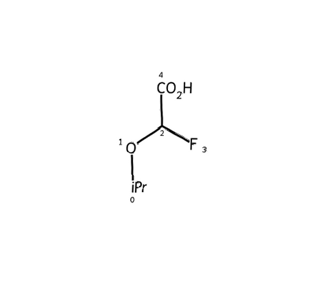 CC(C)OC(F)C(=O)O